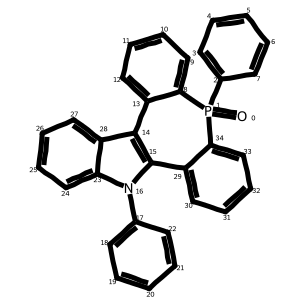 O=P1(c2ccccc2)c2ccccc2-c2c(n(-c3ccccc3)c3ccccc23)-c2ccccc21